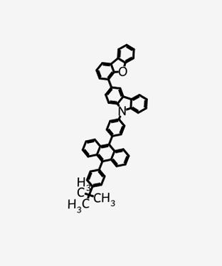 CC(C)(C)c1ccc(-c2c3ccccc3c(-c3ccc(-n4c5ccccc5c5cc(-c6cccc7c6oc6ccccc67)ccc54)cc3)c3ccccc23)cc1